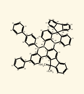 CC1(C)c2ccccc2-c2cc3c4c(c21)-c1ccc(-c2ccccc2)cc1N(c1ccc(-c2ccccc2)cc1)B4c1cccc2c1N3c1ccccc1C21c2ccccc2-c2ccccc21